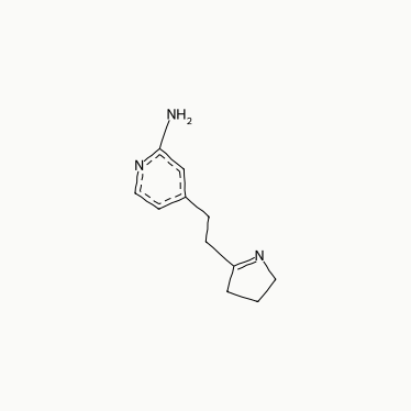 Nc1cc(CCC2=NCCC2)ccn1